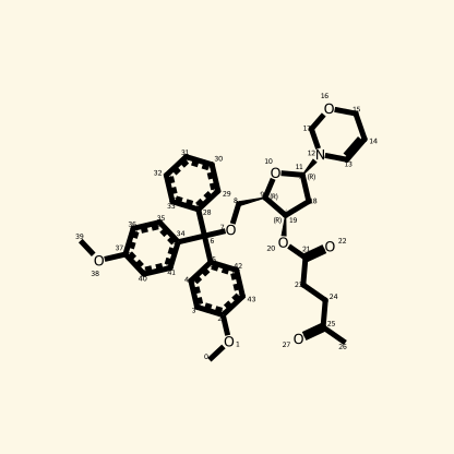 COc1ccc(C(OC[C@H]2O[C@@H](N3C=CCOC3)C[C@H]2OC(=O)CCC(C)=O)(c2ccccc2)c2ccc(OC)cc2)cc1